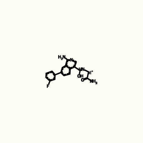 C[C@@H](NC(O)c1cnc(N)c2cc(-c3cccc(F)c3)ccc12)C(N)=O